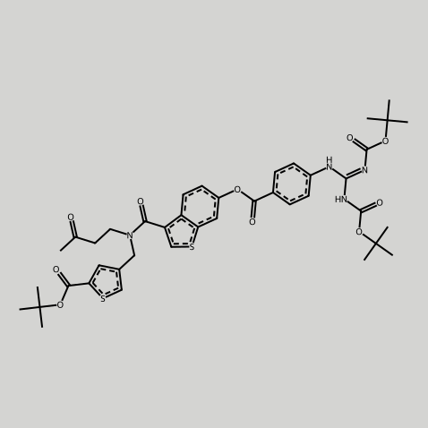 CC(=O)CCN(Cc1csc(C(=O)OC(C)(C)C)c1)C(=O)c1csc2cc(OC(=O)c3ccc(N/C(=N\C(=O)OC(C)(C)C)NC(=O)OC(C)(C)C)cc3)ccc12